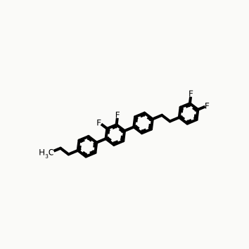 CCCc1ccc(-c2ccc(-c3ccc(CCc4ccc(F)c(F)c4)cc3)c(F)c2F)cc1